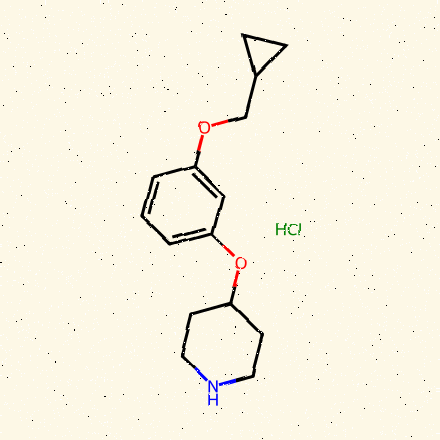 Cl.c1cc(OCC2CC2)cc(OC2CCNCC2)c1